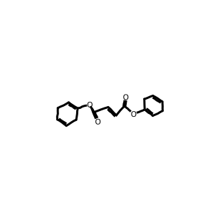 O=C(/C=C/C(=O)OC1=CCC=CC1)OC1=CCC=CC1